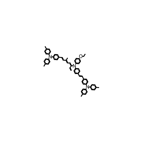 C=C\C(=C/C=C(C)/C=C/c1ccc(N(c2ccc(C)cc2)c2ccc(C)cc2)cc1)N(c1ccc(/C=C/c2ccc(N(c3ccc(C)cc3)c3ccc(C)cc3)cc2)cc1)c1ccc(OCC)cc1